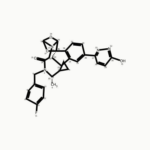 C[C@@H](C1CC1)N(Cc1ccc(F)cc1)C(=O)CN1C2OC1[C@]1(CCc3cc(-c4ccc(O)nn4)ccc31)O2